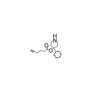 C#CCCCC(=O)OC1(c2ccccc2)CCNCC1